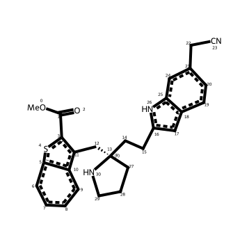 COC(=O)c1sc2ccccc2c1C[C@]1(CCc2cc3ccc(CC#N)cc3[nH]2)CCCN1